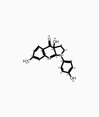 Cc1ccc2c(c1)N=C1N(c3ccc(O)cc3)CCC1(O)C2=O